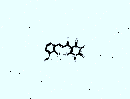 COc1cccc(C=CC(=O)c2c(O)n(C)c(=O)n(C)c2=O)c1Cl